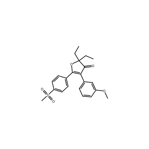 CCC1(CC)OC(c2ccc(S(C)(=O)=O)cc2)=C(c2cccc(OC)c2)C1=O